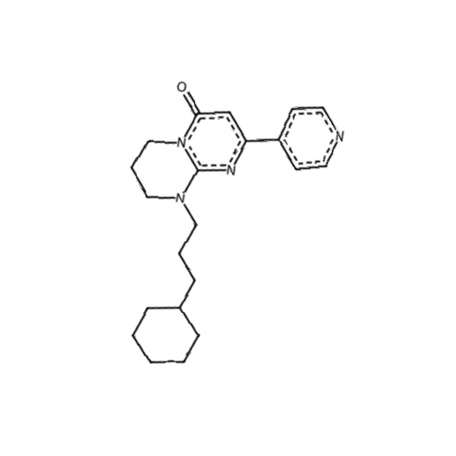 O=c1cc(-c2ccncc2)nc2n1CCCN2CCCC1CCCCC1